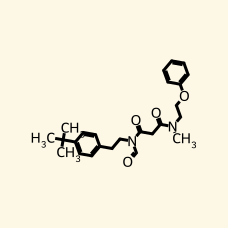 CN(CCOc1ccccc1)C(=O)CC(=O)N(C=O)CCc1ccc(C(C)(C)C)cc1